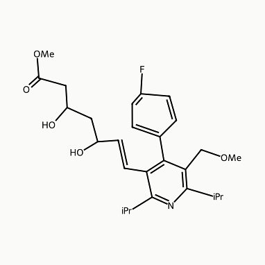 COCc1c(C(C)C)nc(C(C)C)c(C=CC(O)CC(O)CC(=O)OC)c1-c1ccc(F)cc1